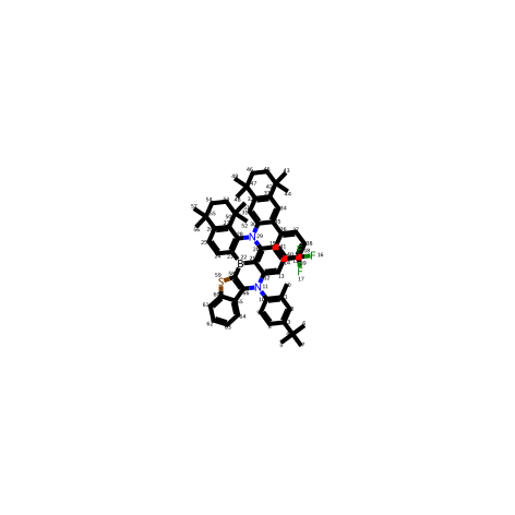 Cc1cc(C(C)(C)C)ccc1N1c2cc(C(F)(F)F)cc3c2B(c2ccc4c(c2N3c2cc3c(cc2-c2ccccc2)C(C)(C)CCC3(C)C)C(C)(C)CCC4(C)C)c2sc3ccccc3c21